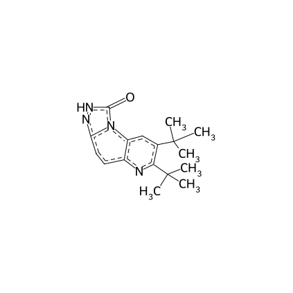 CC(C)(C)c1cc2c(ccc3n[nH]c(=O)n32)nc1C(C)(C)C